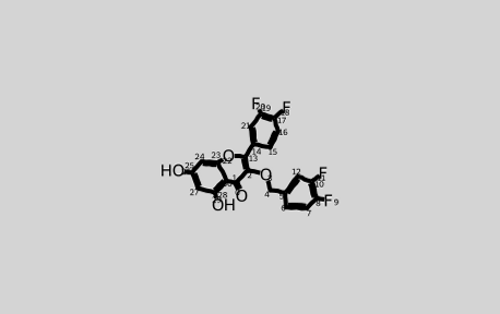 O=c1c(OCc2ccc(F)c(F)c2)c(-c2ccc(F)c(F)c2)oc2cc(O)cc(O)c12